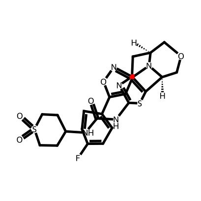 O=C(Nc1nc2c(s1)[C@@H]1COC[C@H](C2)N1c1cc(-c2ccc(F)cc2)on1)NC1CCS(=O)(=O)CC1